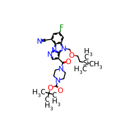 CC(C)(C)OC(=O)N1CCN(C(=O)c2cnn3c4c(C#N)cc(F)cc4n(COCC[Si](C)(C)C)c23)CC1